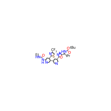 CCNC(=O)Nc1cc(-c2nc(C(F)(F)F)cs2)c(-c2cncc(-c3nnc([C@@H](NC(=O)OC(C)(C)C)C(C)C)o3)c2)cn1